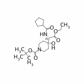 CCOC(=O)[C@@H](NC(=O)C1CCCC1)C1(O)CCN(C(=O)OC(C)(C)C)CC1